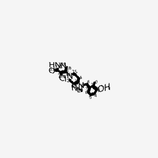 Cc1c(O)cccc1Cn1nnc2c1CCN(c1cn[nH]c(=O)c1Cl)C2